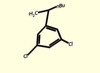 [CH2]C(CCCC)c1cc(Cl)cc(Cl)c1